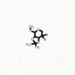 COC1OCC(Br)(Br)C2OC(C)(C)OC12